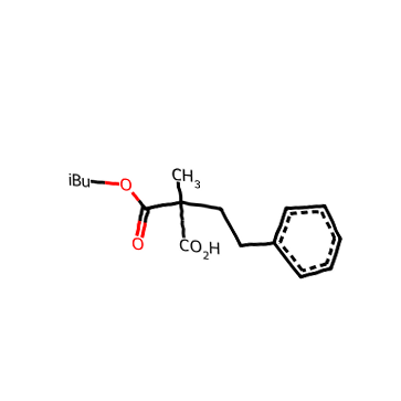 CCC(C)OC(=O)C(C)(CCc1ccccc1)C(=O)O